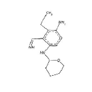 CCc1c(N)ccc(NC2CCCCO2)c1C=N